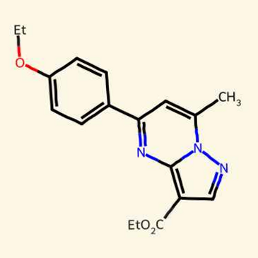 CCOC(=O)c1cnn2c(C)cc(-c3ccc(OCC)cc3)nc12